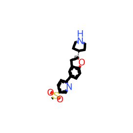 CS(=O)(=O)c1ccc(-c2ccc3c(c2)C[C@H](C2CCNCC2)O3)nc1